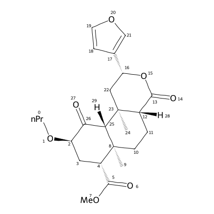 CCCO[C@@H]1C[C@@H](C(=O)OC)[C@]2(C)CC[C@H]3C(=O)O[C@@H](c4ccoc4)C[C@]3(C)[C@H]2C1=O